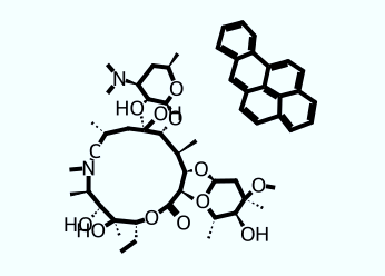 CC[C@H]1OC(=O)[C@H](C)[C@@H](O[C@H]2C[C@@](C)(OC)[C@@H](O)[C@H](C)O2)[C@H](C)[C@@H](O[C@@H]2O[C@H](C)C[C@H](N(C)C)[C@H]2O)[C@](C)(O)C[C@@H](C)CN(C)[C@H](C)[C@@H](O)[C@]1(C)O.c1ccc2c(c1)cc1ccc3cccc4ccc2c1c34